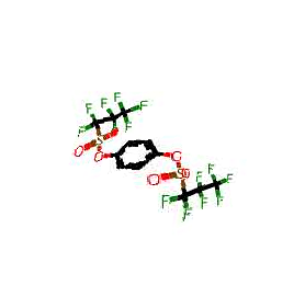 O=S(=O)(Oc1ccc(OS(=O)(=O)C(F)(F)C(F)(F)C(F)(F)F)cc1)C(F)(F)C(F)(F)C(F)(F)F